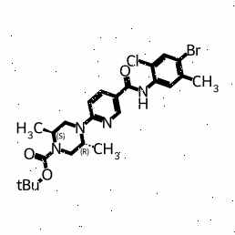 Cc1cc(NC(=O)c2ccc(N3C[C@H](C)N(C(=O)OC(C)(C)C)C[C@H]3C)nc2)c(Cl)cc1Br